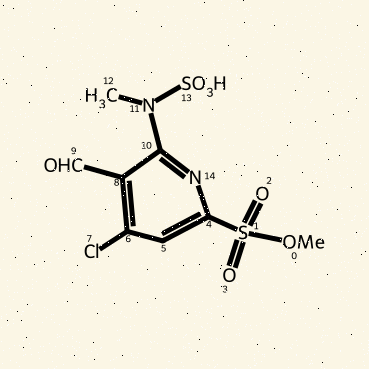 COS(=O)(=O)c1cc(Cl)c(C=O)c(N(C)S(=O)(=O)O)n1